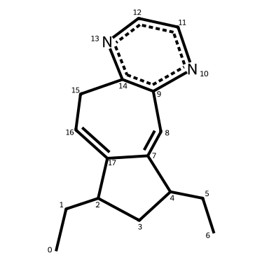 CCC1CC(CC)C2=Cc3nccnc3CC=C21